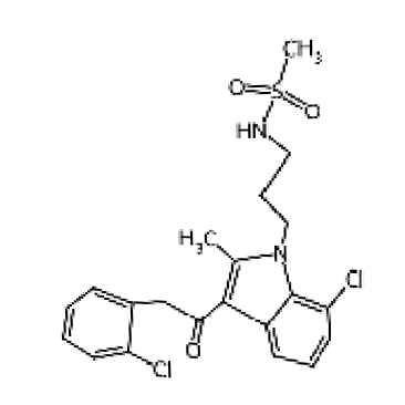 Cc1c(C(=O)Cc2ccccc2Cl)c2cccc(Cl)c2n1CCCNS(C)(=O)=O